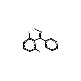 C/N=C(/c1ccccc1)c1c(F)cccc1F